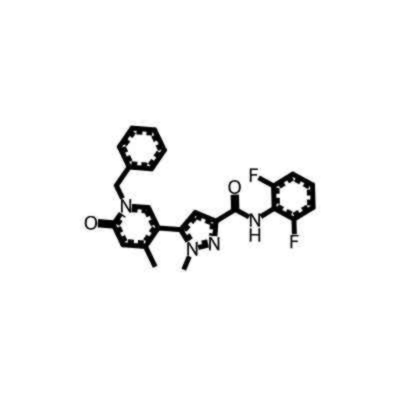 Cc1cc(=O)n(Cc2ccccc2)cc1-c1cc(C(=O)Nc2c(F)cccc2F)nn1C